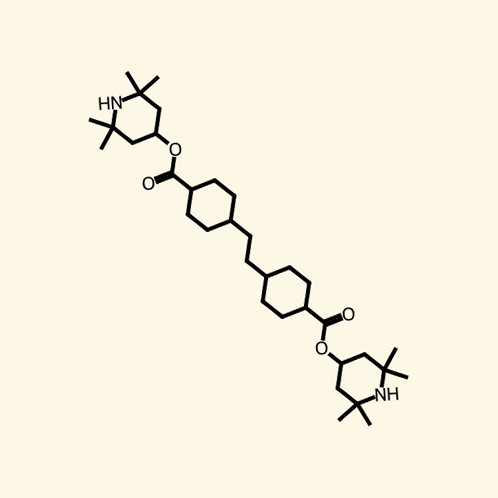 CC1(C)CC(OC(=O)C2CCC(CCC3CCC(C(=O)OC4CC(C)(C)NC(C)(C)C4)CC3)CC2)CC(C)(C)N1